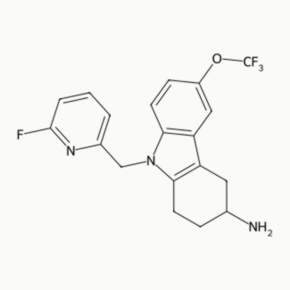 NC1CCc2c(c3cc(OC(F)(F)F)ccc3n2Cc2cccc(F)n2)C1